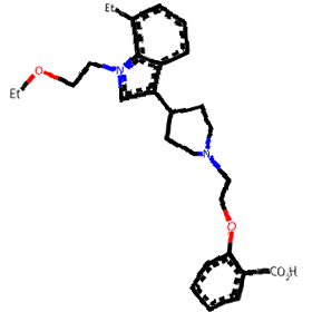 CCOCCn1cc(C2CCN(CCOc3ccccc3C(=O)O)CC2)c2cccc(CC)c21